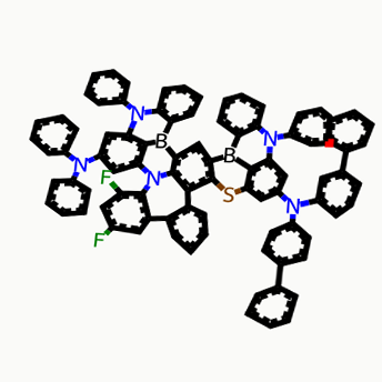 Fc1cc(F)c2c(c1)-c1ccccc1-c1c3c(cc4c1N2c1cc(N(c2ccccc2)c2ccccc2)cc2c1B4c1ccccc1N2c1ccccc1)B1c2ccccc2N(c2ccccc2)c2cc(N(c4ccc(-c5ccccc5)cc4)c4cccc(-c5ccccc5)c4)cc(c21)S3